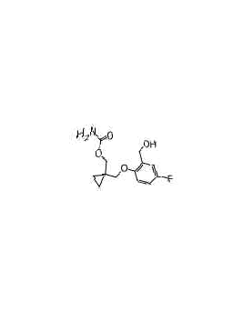 NC(=O)OCC1(COc2ccc(F)cc2CO)CC1